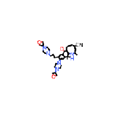 CC1/C=C(C#N)\C=C/CC2=C(N1)C(C)(C)c1cc(N3CCN(C4COC4)CC3)c(CCCN3CCN(C4COC4)CC3)cc1C2=O